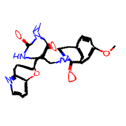 COc1ccc2c(c1)C(=O)N(CC1(c3cc4ncccc4o3)NC(=O)NC1=O)C2